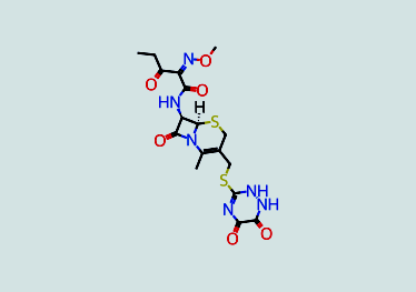 CCC(=O)/C(=N/OC)C(=O)N[C@@H]1C(=O)N2C(C)=C(CSc3nc(=O)c(=O)[nH][nH]3)CS[C@H]12